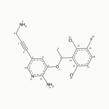 CC(Oc1cc(C#CCN)cnc1N)c1c(Cl)ccc(F)c1Cl